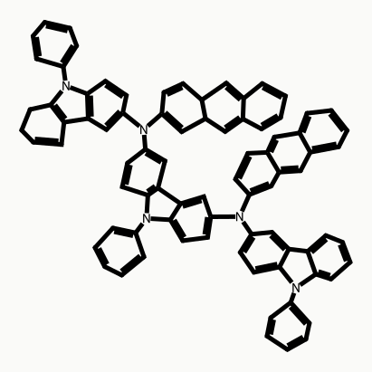 C1=Cc2c(n(-c3ccccc3)c3ccc(N(C4=CC5C=c6ccccc6=CC5C=C4)c4ccc5c(c4)c4cc(N(c6ccc7cc8ccccc8cc7c6)c6ccc7c(c6)c6ccccc6n7-c6ccccc6)ccc4n5-c4ccccc4)cc23)CC1